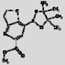 COC(=O)c1cc(B2OC(C)(C)C(C)(C)O2)c2c(n1)CCO2